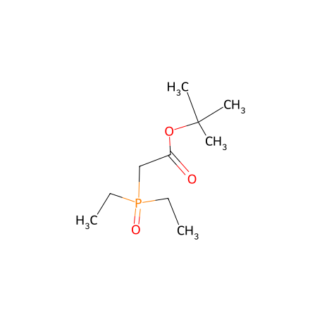 CCP(=O)(CC)CC(=O)OC(C)(C)C